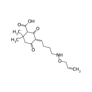 C=CCONCCCC=C1C(=O)CC(C)(C)C(C(=O)O)C1=O